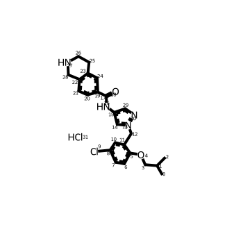 CC(C)COc1ccc(Cl)cc1Cn1cc(NC(=O)c2ccc3c(c2)CCNC3)cn1.Cl